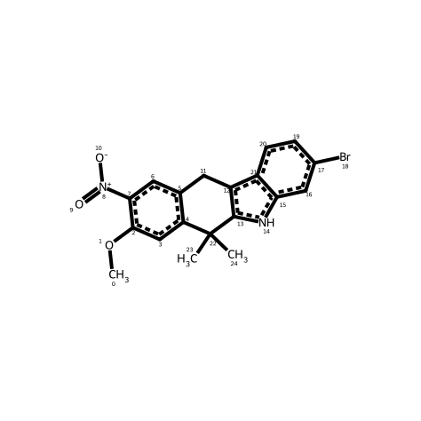 COc1cc2c(cc1[N+](=O)[O-])Cc1c([nH]c3cc(Br)ccc13)C2(C)C